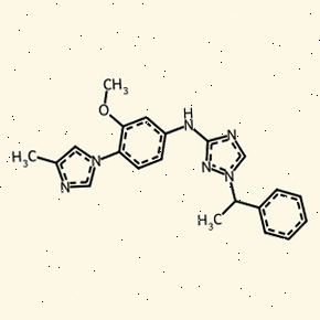 COc1cc(Nc2ncn(C(C)c3ccccc3)n2)ccc1-n1cnc(C)c1